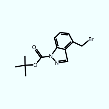 CC(C)(C)OC(=O)n1ncc2c(CBr)cccc21